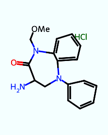 COCN1C(=O)C(N)CN(c2ccccc2)c2ccccc21.Cl